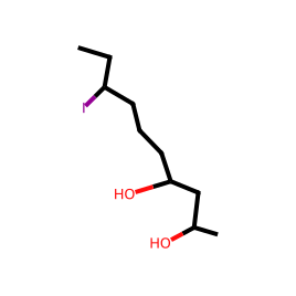 CCC(I)CCCC(O)CC(C)O